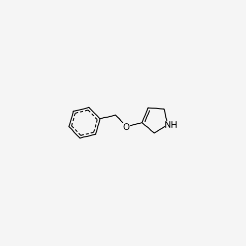 C1=C(OCc2ccccc2)CNC1